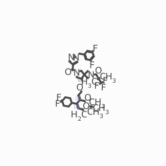 C=C/C=C(\C(=C\COC[C@@H]1CN(C(=O)c2cnn(Cc3cc(F)cc(F)c3)c2)CC12CN(C(=O)C(C)(C)C(F)(F)F)C2)C(=O)OC(C)(C)C)C1CCC(F)(F)CC1